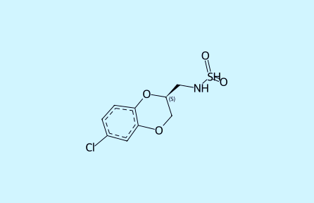 O=[SH](=O)NC[C@H]1COc2cc(Cl)ccc2O1